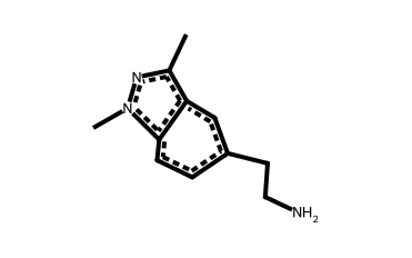 Cc1nn(C)c2ccc(CCN)cc12